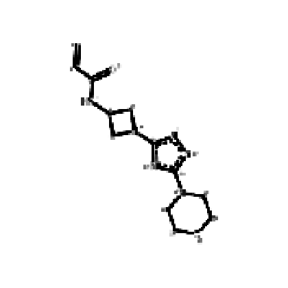 C=CC(=O)NC1CN(c2nsc(N3CCOCC3)n2)C1